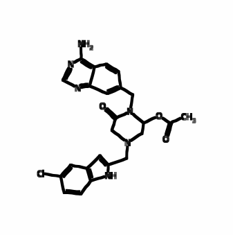 CC(=O)OC1CN(Cc2cc3cc(Cl)ccc3[nH]2)CC(=O)N1Cc1ccc2c(N)ncnc2c1